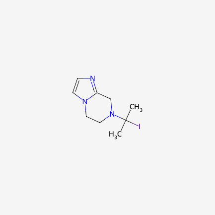 CC(C)(I)N1CCn2ccnc2C1